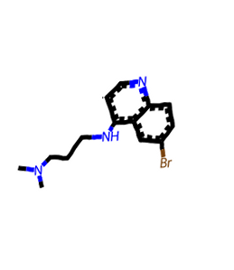 CN(C)CCCNc1[c]cnc2ccc(Br)cc12